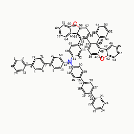 c1ccc(-c2ccc(-c3ccc(N(c4ccc(-c5ccc(-c6ccccc6)cc5)cc4)c4ccc(-c5c(-c6ccc7oc8ccccc8c7c6-c6ccccc6)ccc6oc7ccccc7c56)cc4)cc3)cc2)cc1